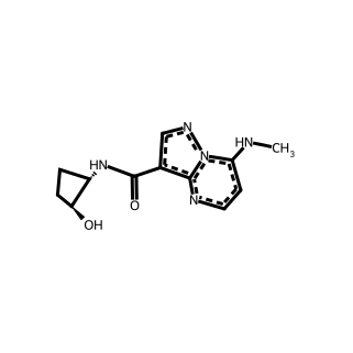 CNc1ccnc2c(C(=O)N[C@H]3CC[C@@H]3O)cnn12